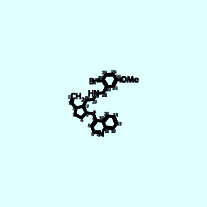 C=CC1CCC(Cc2ccnc3ccccc23)C1CCNCc1cc(OC)ccc1Br